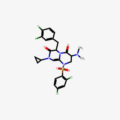 CN(C)C1CN(S(=O)(=O)c2ccc(Cl)cc2Cl)C2=CN(C3CC3)C(=O)C(Cc3ccc(F)c(F)c3)N2C1=O